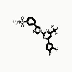 NS(=O)(=O)c1cccc(-c2cn(-c3nc(-c4ccc(F)c(F)c4)cc(C(F)(F)F)n3)cn2)c1